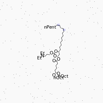 CCCCC/C=C\C/C=C\CCCCCCCCC(CCOC(=O)CCCCC(OCCCCCCCC)OCCCCCCCC)OC(=O)OCCCN(CC)CC